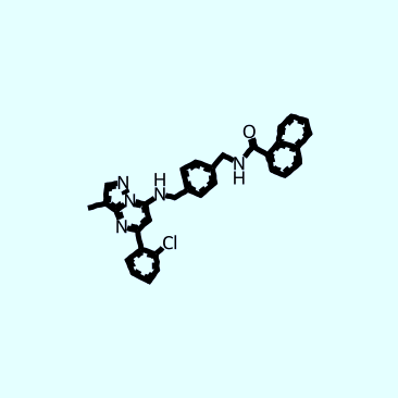 Cc1cnn2c(NCc3ccc(CNC(=O)c4cccc5ccccc45)cc3)cc(-c3ccccc3Cl)nc12